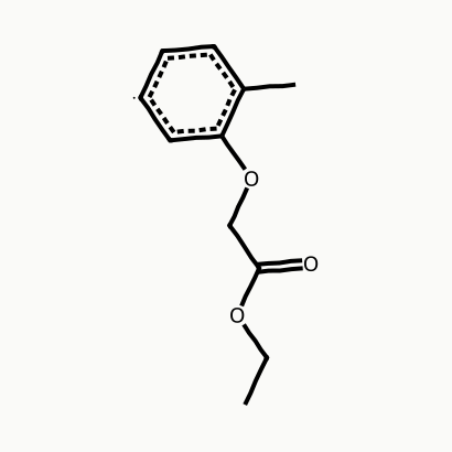 CCOC(=O)COc1c[c]ccc1C